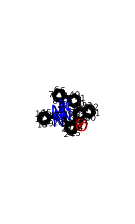 C1=Cc2c(c3ccccc3n2-c2nc(-c3ccccc3)nc(-c3cccc4oc5c6ccccc6ccc5c34)n2)CC1